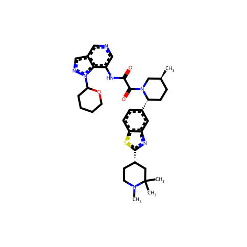 C[C@H]1CC[C@H](c2ccc3sc([C@H]4CCN(C)C(C)(C)C4)nc3c2)N(C(=O)C(=O)Nc2cncc3cnn(C4CCCCO4)c23)C1